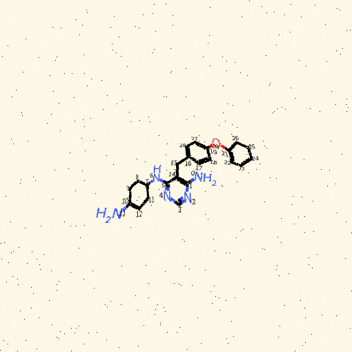 Nc1ncnc(NC2CCC(N)CC2)c1Cc1ccc(OC2=CC=CCC2)cc1